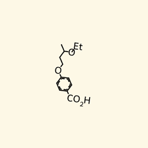 CCOC(C)CCOc1ccc(C(=O)O)cc1